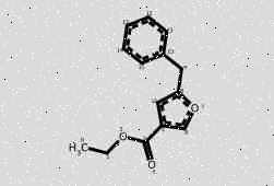 CCOC(=O)c1coc(Cc2ccccc2)c1